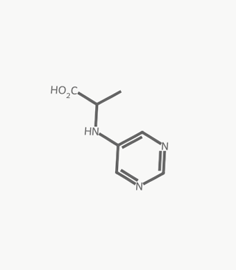 CC(Nc1cncnc1)C(=O)O